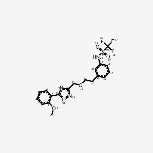 COc1ccccc1-c1nc(COCCc2cccc(NS(=O)(=O)C(F)(F)F)c2)no1